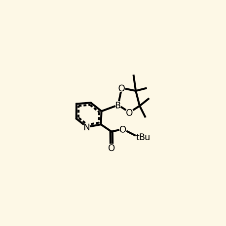 CC(C)(C)OC(=O)c1ncccc1B1OC(C)(C)C(C)(C)O1